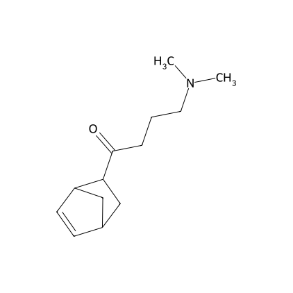 CN(C)CCCC(=O)C1CC2C=CC1C2